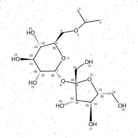 [CH2]C(C)OC[C@H]1O[C@H](O[C@]2(CO)O[C@H](CO)[C@@H](O)[C@@H]2O)[C@H](O)[C@@H](O)[C@@H]1O